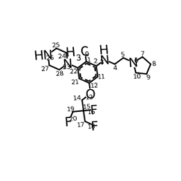 Cc1c(NCCN2CCCC2)cc(OCC(F)(CF)CF)cc1N1CCNCC1